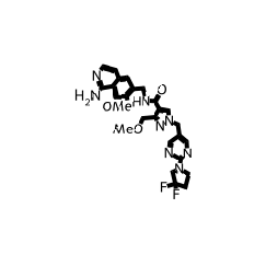 COCc1nn(Cc2cnc(N3CCC(F)(F)C3)nc2)cc1C(=O)NCc1cc2ccnc(N)c2cc1OC